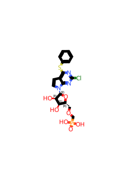 O=P(O)(O)COC[C@H]1O[C@@H](n2ccc3c(Sc4ccccc4)nc(Cl)nc32)[C@H](O)[C@@H]1O